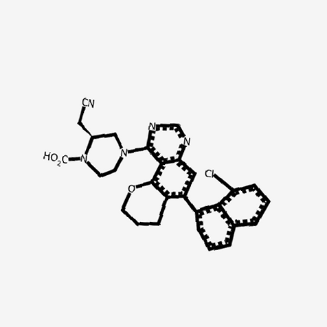 N#CC[C@H]1CN(c2ncnc3cc(-c4cccc5cccc(Cl)c45)c4c(c23)OCCC4)CCN1C(=O)O